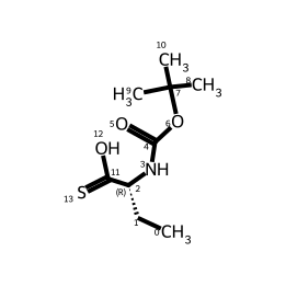 CC[C@@H](NC(=O)OC(C)(C)C)C(O)=S